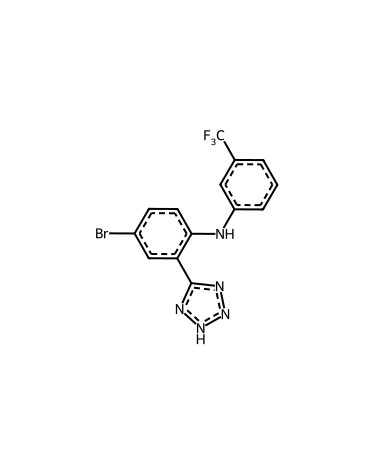 FC(F)(F)c1cccc(Nc2ccc(Br)cc2-c2nn[nH]n2)c1